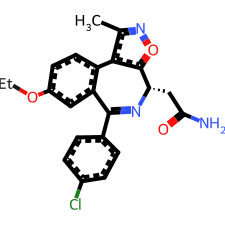 CCOc1ccc2c(c1)C(c1ccc(Cl)cc1)=N[C@@H](CC(N)=O)c1onc(C)c1-2